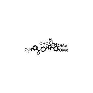 COc1ccc(C2=NN(C3CCN(C(=O)c4cccc([N+](=O)[O-])c4)CC3)C(C=O)C2(C)C)cc1OC